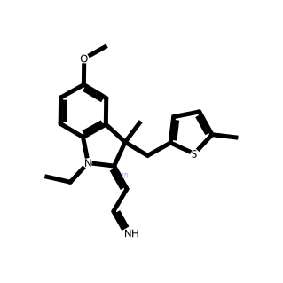 CCN1/C(=C\C=N)C(C)(Cc2ccc(C)s2)c2cc(OC)ccc21